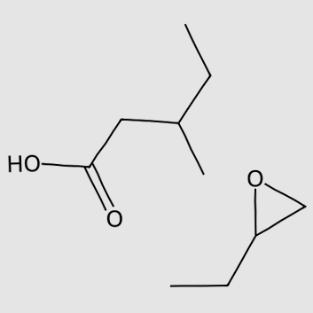 CCC(C)CC(=O)O.CCC1CO1